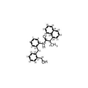 CC(C(=O)Nc1ccccc1Cc1ccccc1CO)c1cccc2ccccc12